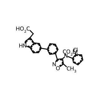 CCOC(=O)N(c1ccccc1Cl)c1c(-c2cccc(-c3ccc4[nH]cc(CC(=O)O)c4c3)c2)noc1C